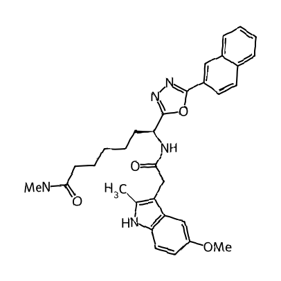 CNC(=O)CCCCC[C@H](NC(=O)Cc1c(C)[nH]c2ccc(OC)cc12)c1nnc(-c2ccc3ccccc3c2)o1